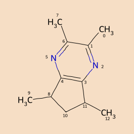 Cc1nc2c(nc1C)C(C)CC2C